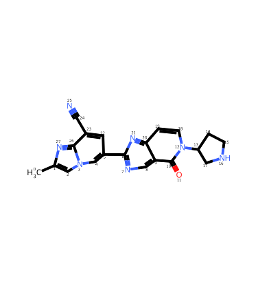 Cc1cn2cc(-c3ncc4c(=O)n(C5CCNC5)ccc4n3)cc(C#N)c2n1